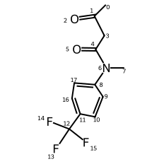 CC(=O)CC(=O)N(C)c1ccc(C(F)(F)F)cc1